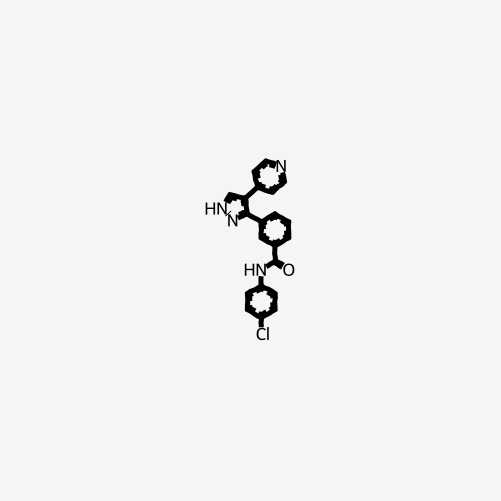 O=C(Nc1ccc(Cl)cc1)c1cccc(-c2n[nH]cc2-c2ccncc2)c1